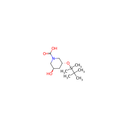 CC(C)(C)[Si](C)(C)O[C@@H]1C[C@@H](O)CN(C(=O)O)C1